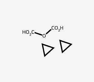 C1CC1.C1CC1.O=C(O)OC(=O)O